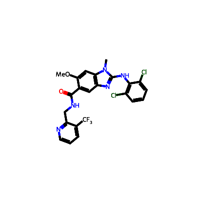 COc1cc2c(cc1C(=O)NCc1ncccc1C(F)(F)F)nc(Nc1c(Cl)cccc1Cl)n2C